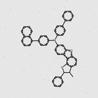 CC1c2ccc3oc4cc(N(c5ccc(-c6ccccc6)cc5)c5ccc(-c6cccc7ccccc67)cc5)ccc4c3c2OC1c1ccccc1